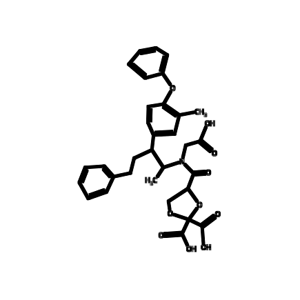 Cc1cc(C(CCc2ccccc2)C(C)N(CC(=O)O)C(=O)C2COC(C(=O)O)(C(=O)O)O2)ccc1Oc1ccccc1